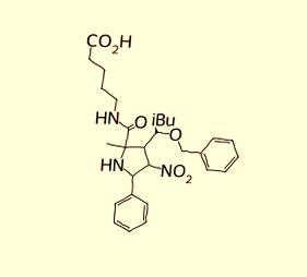 CC[C@H](C)C(OCc1ccccc1)C1C([N+](=O)[O-])C(c2ccccc2)NC1(C)C(=O)NCCCCC(=O)O